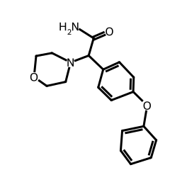 NC(=O)C(c1ccc(Oc2ccccc2)cc1)N1CCOCC1